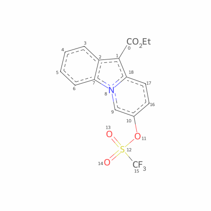 CCOC(=O)c1c2ccccc2n2cc(OS(=O)(=O)C(F)(F)F)ccc12